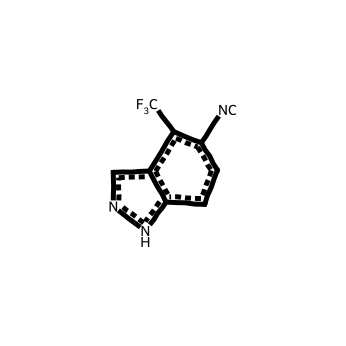 [C-]#[N+]c1ccc2[nH]ncc2c1C(F)(F)F